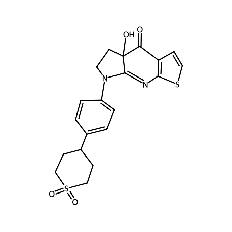 O=C1c2ccsc2N=C2N(c3ccc(C4CCS(=O)(=O)CC4)cc3)CCC12O